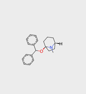 CN1[C@@H]2CCC[C@@]1(OC(c1ccccc1)c1ccccc1)CC2